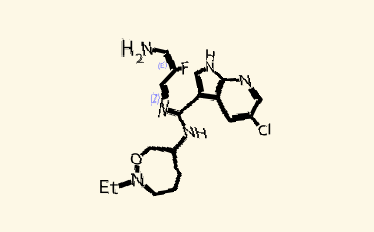 CCN1CCCC(NC(/N=C\C(F)=C/N)c2c[nH]c3ncc(Cl)cc23)CO1